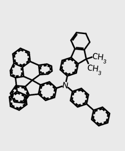 CC1(C)C2=C(C=CCC2)c2ccc(N(c3ccc(-c4ccccc4)cc3)c3ccc4c(c3)C3(c5ccccc5-4)c4ccccc4-c4cccc5ccc(-c6ccccc6)c3c45)cc21